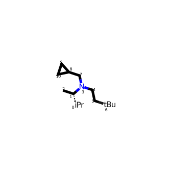 CC(C)[C@H](C)N(CCC(C)(C)C)CC1CC1